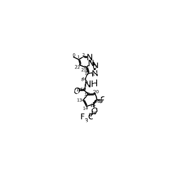 Cc1cnn2nnc(CNC(=O)c3ccc(OC(F)(F)F)c(F)c3)c2c1